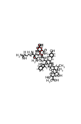 CC(C)C[C@H](NC(=O)[C@H](Cc1c[nH]c2ccccc12)NC(=O)[C@H](Cc1ccc(O)cc1)NC(=O)[C@H](CS)NC(=O)[C@H](Cc1ccc(O)cc1)NC(=O)[C@H](CC(=O)O)NC(=O)[C@H](CC(N)=O)NC(=O)[C@@H](N)CCCNC(=N)N)C(=O)N[C@@H](CO)C(=O)N[C@H](C(=O)O)[C@@H](C)O